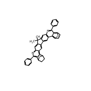 CC1(C)c2cc3nc(-c4ccccc4)c4c(c3cc2-c2cc3c(cc21)nc(-c1ccccc1)c1c2oc(c13)CC2)C1CCC4O1